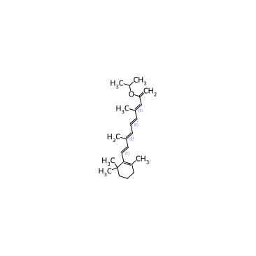 C=C(/C=C(C)/C=C/C=C(C)/C=C/C1=C(C)CCCC1(C)C)OC(C)C